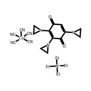 CC[N+](CC)(CC)CC.N#[C][Co-2]([C]#N)([C]#N)([C]#N)[C]#N.O=C1C=C(N2CC2)C(=O)C(N2CC2)=C1N1CC1